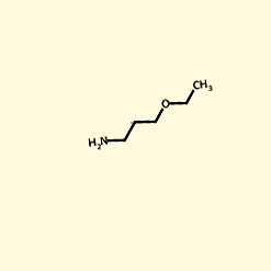 CCOC[CH]CN